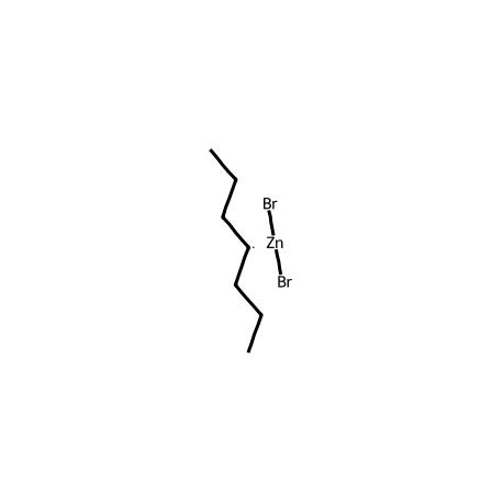 CCC[CH]CCC.[Br][Zn][Br]